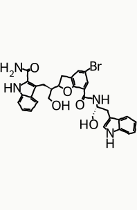 NC(=O)c1[nH]c2ccccc2c1C[C@H](CO)C1Cc2cc(Br)cc(C(=O)N[C@@H](CO)Cc3c[nH]c4ccccc34)c2O1